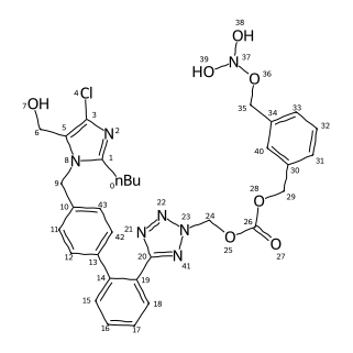 CCCCc1nc(Cl)c(CO)n1Cc1ccc(-c2ccccc2-c2nnn(COC(=O)OCc3cccc(CON(O)O)c3)n2)cc1